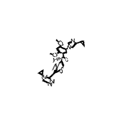 COc1cc(OC)c(-n2cnc(C3CC3)c2)cc1C(=O)Nc1csc(-c2nncn2C2CC2)n1